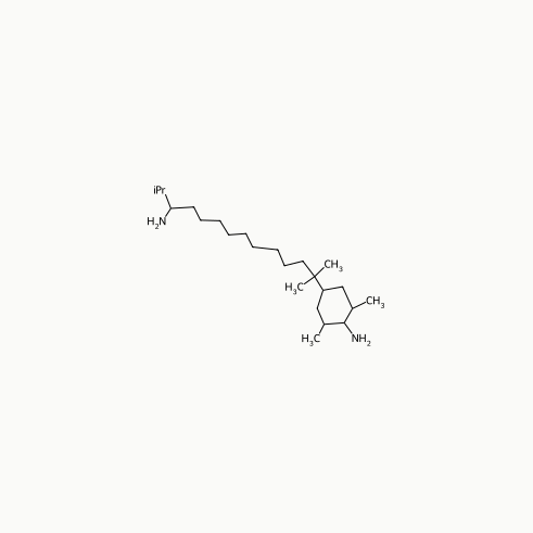 CC(C)C(N)CCCCCCCCCC(C)(C)C1CC(C)C(N)C(C)C1